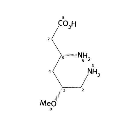 CO[C@@H](CN)C[C@@H](N)CC(=O)O